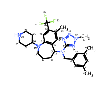 Cc1cc(C)cc(CN(c2nnn(C)n2)[C@H]2CCCN(C3CCNCC3)c3cc(C(F)(F)F)c(C)cc32)c1